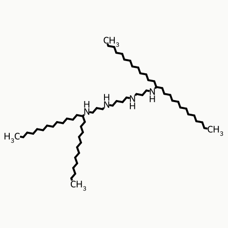 CCCCCCCCCCCCCC(CCCCCCCCCCCCC)NCCCNCCCCNCCCNC(CCCCCCCCCCCCC)CCCCCCCCCCCCC